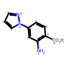 Nc1cc(-n2cccn2)ccc1C(=O)O